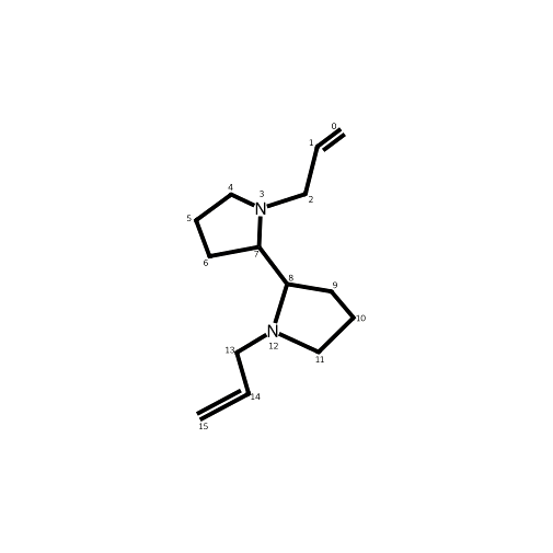 C=CCN1CCCC1C1CCCN1CC=C